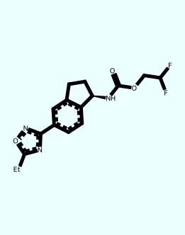 CCc1nc(-c2ccc3c(c2)CC[C@H]3NC(=O)OCC(F)F)no1